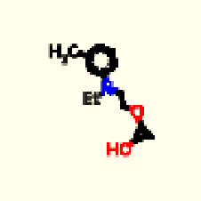 CCN(CCOC1CC1O)c1cccc(C)c1